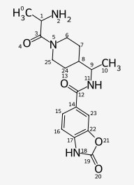 CC(N)C(=O)N1CCC(C(C)NC(=O)c2ccc3[nH]c(=O)oc3c2)CC1